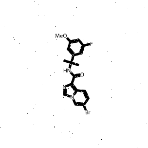 COc1cc(F)cc(C(C)(C)NC(=O)c2ncn3cc(Br)ccc23)c1